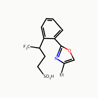 CCc1coc(-c2ccccc2C(CCS(=O)(=O)O)C(F)(F)F)n1